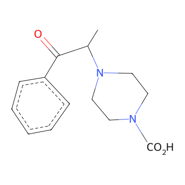 CC(C(=O)c1ccccc1)N1CCN(C(=O)O)CC1